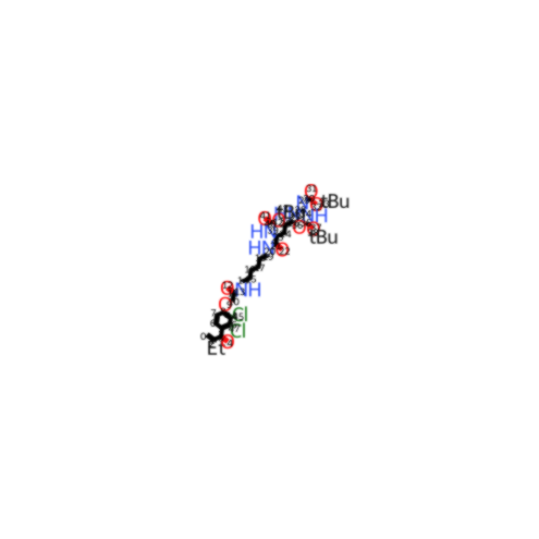 C=C(CC)C(=O)c1ccc(OCC(=O)NCCCCCCNC(=O)C(CCCNC(=NC(=O)OC(C)(C)C)NC(=O)OC(C)(C)C)NC(=O)OC(C)(C)C)c(Cl)c1Cl